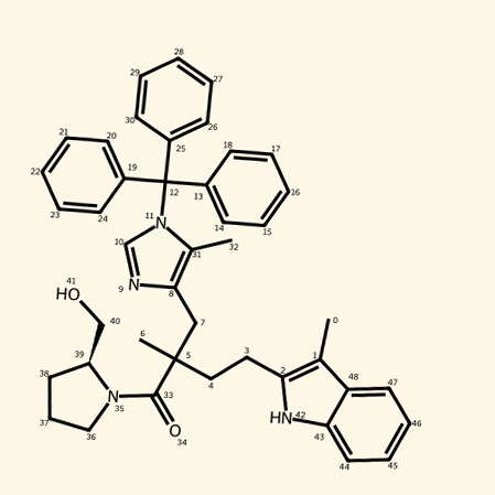 Cc1c(CCC(C)(Cc2ncn(C(c3ccccc3)(c3ccccc3)c3ccccc3)c2C)C(=O)N2CCC[C@H]2CO)[nH]c2ccccc12